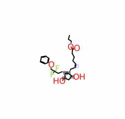 CCCOC(=O)CCC/C=C\C[C@@H]1[C@@H](CCC(F)(F)COc2ccccc2)[C@H](O)C[C@@H]1O